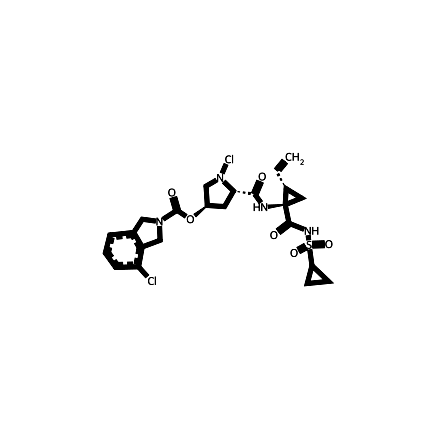 C=C[C@@H]1C[C@]1(NC(=O)[C@@H]1C[C@@H](OC(=O)N2Cc3cccc(Cl)c3C2)CN1Cl)C(=O)NS(=O)(=O)C1CC1